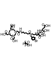 O=C(O)C(F)(F)F.O=C(O)CCC(NC(=O)NC(CCCCN(Cc1ccc(Br)cc1)C(=O)CCCCCNC(=O)CN1CCN(CC(=O)O)CCN(CC(=O)O)CCN(CC(=O)O)CC1)C(=O)O)C(=O)O